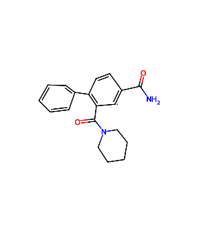 NC(=O)c1[c]c(C(=O)N2CCCCC2)c(-c2ccccc2)cc1